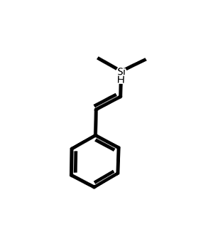 C[SiH](C)/C=C/c1ccccc1